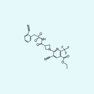 CCOC(=O)c1cc(C#N)c(N2CC(C(=O)NS(=O)(=O)Cc3ccccc3C#N)C2)nc1C(F)(F)F